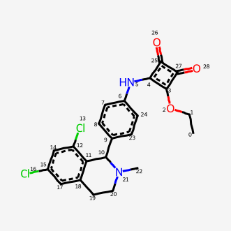 CCOc1c(Nc2ccc(C3c4c(Cl)cc(Cl)cc4CCN3C)cc2)c(=O)c1=O